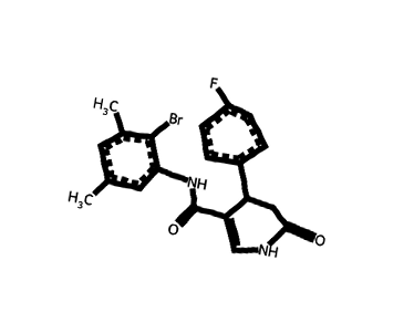 Cc1cc(C)c(Br)c(NC(=O)C2=CNC(=O)CC2c2ccc(F)cc2)c1